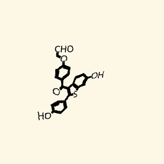 O=CCOc1ccc(C(=O)c2c(-c3ccc(O)cc3)sc3cc(O)ccc23)cc1